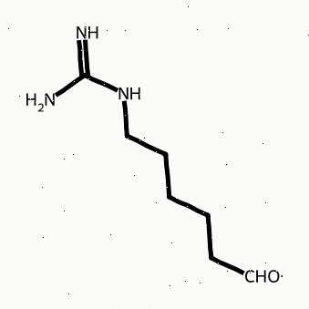 N=C(N)NCCCCC[C]=O